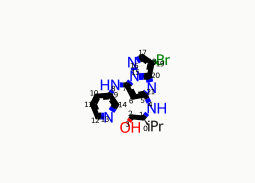 CC(C)[C@H](CO)Nc1cc(Nc2cccnc2)n2ncc(Br)c2n1